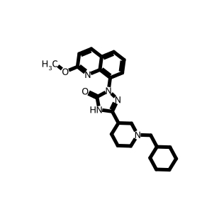 COc1ccc2cccc(-n3nc(C4CCCN(CC5CCCCC5)C4)[nH]c3=O)c2n1